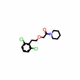 O=C(COCCc1c(Cl)cccc1Cl)N1CCCCC1